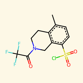 Cc1ccc(S(=O)(=O)Cl)c2c1CCN(C(=O)C(F)(F)F)C2